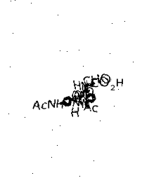 CC(=O)Nc1ccc(C(=O)N[C@H]2CN(C(C)=O)c3ccccc3N(CC(=O)N[C@H](C=O)CC(=O)O)C2=O)cc1